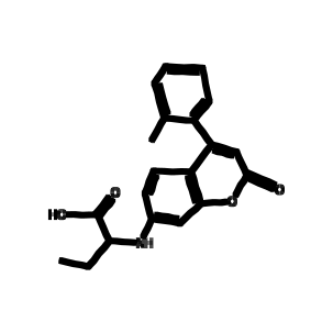 CCC(Nc1ccc2c(-c3ccccc3C)cc(=O)oc2c1)C(=O)O